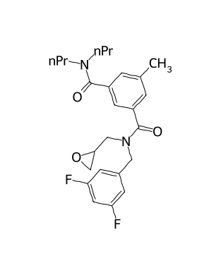 CCCN(CCC)C(=O)c1cc(C)cc(C(=O)N(Cc2cc(F)cc(F)c2)CC2CO2)c1